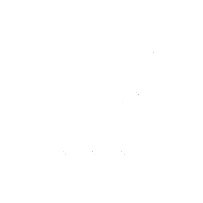 C=N/C=C(NC(=O)c1ccnc(Nc2ccc(C)cn2)c1)\C(=C/C)OCC